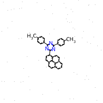 Cc1ccc(-c2nc(-c3ccc(C)cc3)nc(-c3ccc4ccc5cccc6ccc3c4c56)n2)cc1